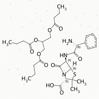 CC1(C)S[C@@H]2[C@H](NC(=O)[C@H](N)c3ccccc3)C(=O)N2[C@H]1C(=O)O.CCCC(=O)OCC(COC(=O)CCC)OC(=O)CCC